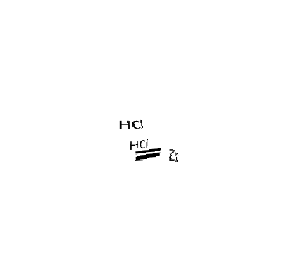 C=C.Cl.Cl.[Zr]